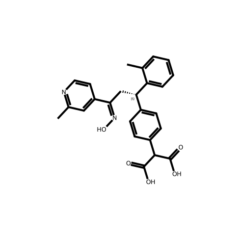 Cc1cc(C(C[C@@H](c2ccc(C(C(=O)O)C(=O)O)cc2)c2ccccc2C)=NO)ccn1